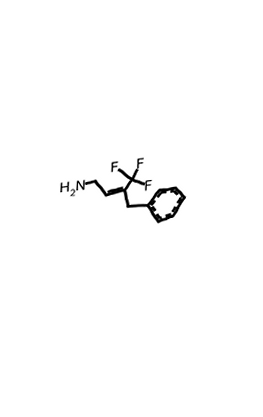 NCC=C(Cc1ccccc1)C(F)(F)F